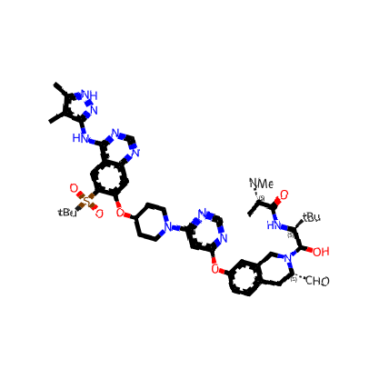 CN[C@@H](C)C(=O)N[C@H](C(O)N1Cc2cc(Oc3cc(N4CCC(Oc5cc6ncnc(Nc7n[nH]c(C)c7C)c6cc5S(=O)(=O)C(C)(C)C)CC4)ncn3)ccc2C[C@H]1C=O)C(C)(C)C